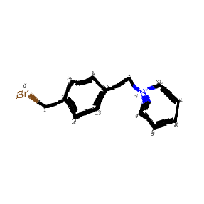 BrCc1ccc(C[n+]2ccccc2)cc1